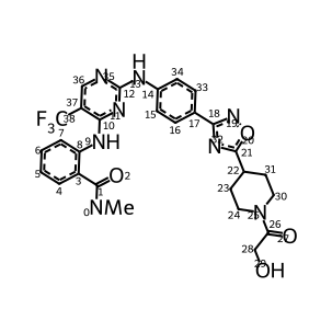 CNC(=O)c1ccccc1Nc1nc(Nc2ccc(-c3noc(C4CCN(C(=O)CO)CC4)n3)cc2)ncc1C(F)(F)F